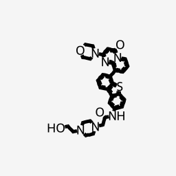 O=C(CN1CCN(CCO)CC1)Nc1ccc2sc3c(-c4cccn5c(=O)cc(N6CCOCC6)nc45)cccc3c2c1